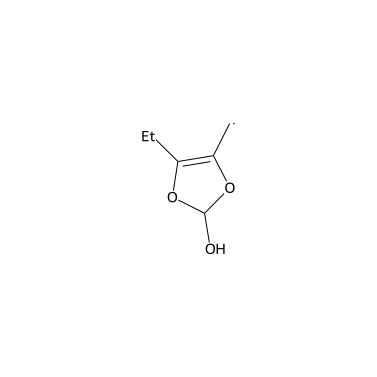 [CH2]C1=C(CC)OC(O)O1